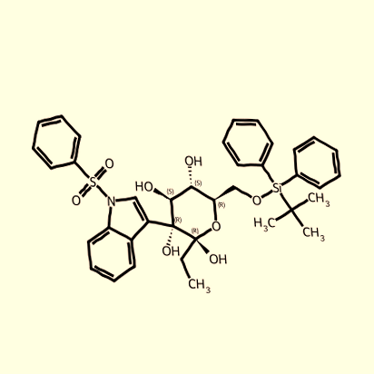 CC[C@@]1(O)O[C@H](CO[Si](c2ccccc2)(c2ccccc2)C(C)(C)C)[C@@H](O)[C@H](O)[C@]1(O)c1cn(S(=O)(=O)c2ccccc2)c2ccccc12